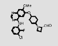 COc1cc2ncnc(Nc3cccc(Cl)c3F)c2cc1OC1CCC(N2CC[C@H]2C=O)CC1